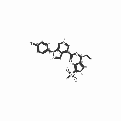 CC[C@H](NC(=O)c1cncc2c1cnn2-c1ccc(F)cc1)c1csc(S(C)(=O)=O)c1